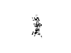 CC(=O)Nc1ccc(N2CCC(O)(C(=O)NCc3cccc(F)c3Cl)C2=O)cn1